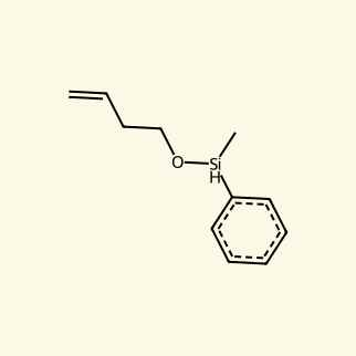 C=CCCO[SiH](C)c1ccccc1